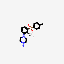 Cc1ccc(S(=O)(=O)c2cccc(N3CCNCC3)c2C(F)(F)F)cc1